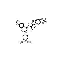 C[C@]1(C(=O)N[C@@H]2C[C@H](C3CCC(CN)(C(=O)O)CC3)Oc3cc(OC(F)(F)F)ccc32)COc2cc3c(cc21)OC(F)(F)O3